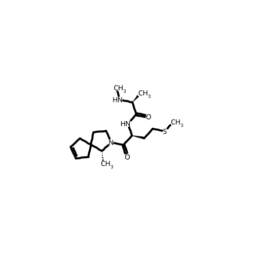 CN[C@@H](C)C(=O)N[C@@H](CCSC)C(=O)N1CCC2(CC=CC2)[C@H]1C